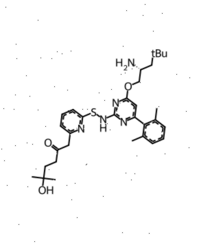 Cc1cccc(C)c1-c1cc(OC[C@H](N)CC(C)(C)C)nc(NSc2cccc(CC(=O)CCC(C)(C)O)n2)n1